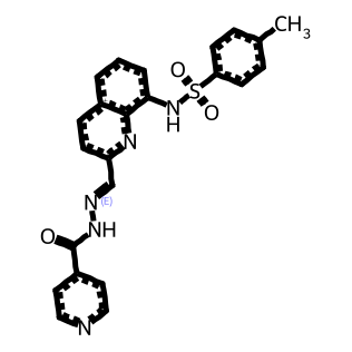 Cc1ccc(S(=O)(=O)Nc2cccc3ccc(/C=N/NC(=O)c4ccncc4)nc23)cc1